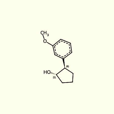 COc1cccc([C@H]2CCC[C@@H]2O)c1